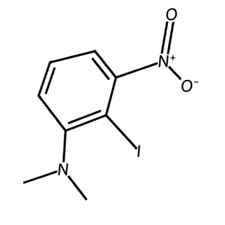 CN(C)c1cccc([N+](=O)[O-])c1I